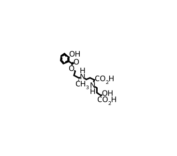 C[C@H](CCOC(=O)c1ccccc1O)NCC[C@H](NCC[C@H](O)C(=O)O)C(=O)O